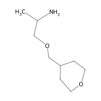 CC(N)COCC1CCOCC1